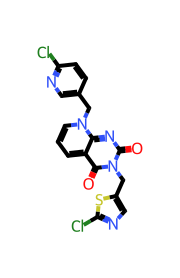 O=c1nc2n(Cc3ccc(Cl)nc3)cccc-2c(=O)n1Cc1cnc(Cl)s1